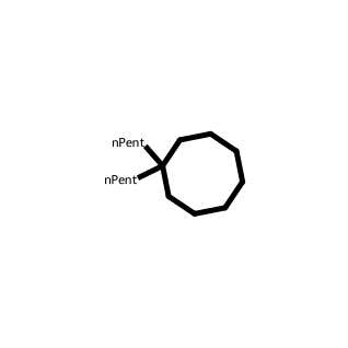 CCCCCC1(CCCCC)CCCCCCC1